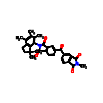 Cc1c(C)c2c(c(N3C(=O)c4ccc(C(=O)c5ccc6c(c5)C(=O)N(C)C6=O)cc4C3=O)c1C)C(C)(C)CC2